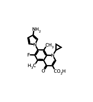 Cc1c(F)c(-n2ccc(N)c2)c(C)c2c1c(=O)c(C(=O)O)cn2C1CC1